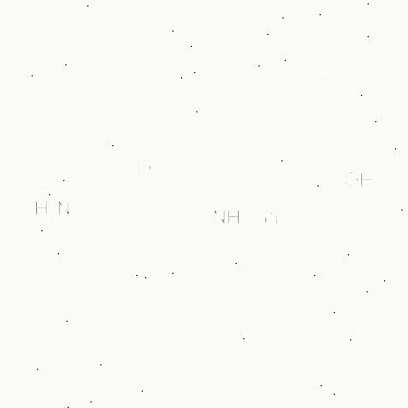 Nc1cccc(OCCCNCC2CCc3ccc(O)cc3O2)c1